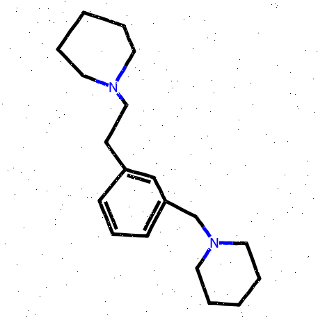 c1cc(CCN2CCCCC2)cc(CN2CCCCC2)c1